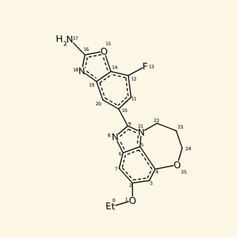 CCOc1cc2c3c(c1)nc(-c1cc(F)c4oc(N)nc4c1)n3CCCO2